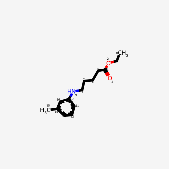 CCOC(=O)CCCCNc1cccc(C)c1